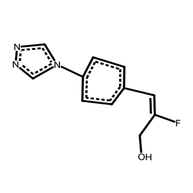 OC/C(F)=C\c1ccc(-n2cnnc2)cc1